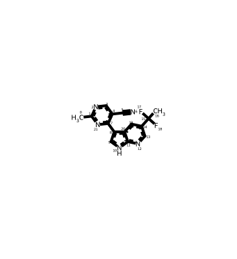 Cc1ncc(C#N)c(-c2c[nH]c3ncc(C(C)(F)F)cc23)n1